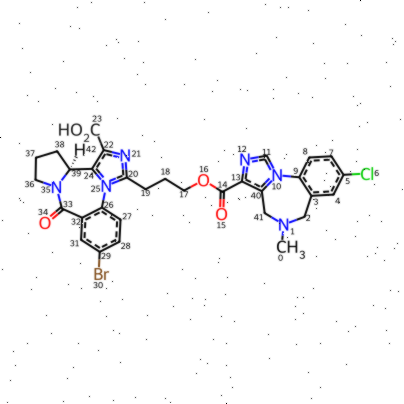 CN1Cc2cc(Cl)ccc2-n2cnc(C(=O)OCCCc3nc(C(=O)O)c4n3-c3ccc(Br)cc3C(=O)N3CCC[C@@H]43)c2C1